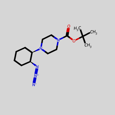 CC(C)(C)OC(=O)N1CCN([C@@H]2CCCC[C@@H]2N=[N+]=[N-])CC1